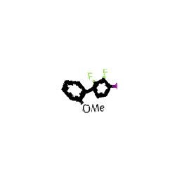 COc1ccccc1-c1ccc(I)c(F)c1F